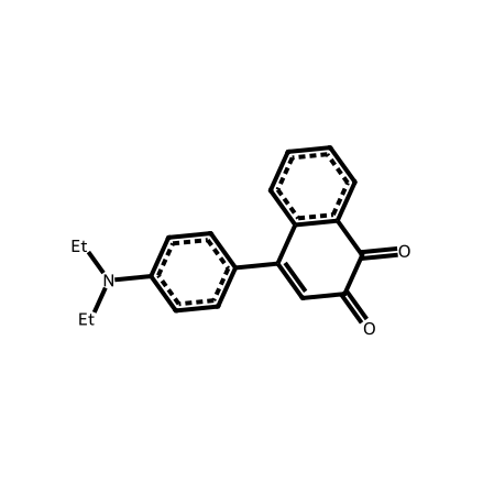 CCN(CC)c1ccc(C2=CC(=O)C(=O)c3ccccc32)cc1